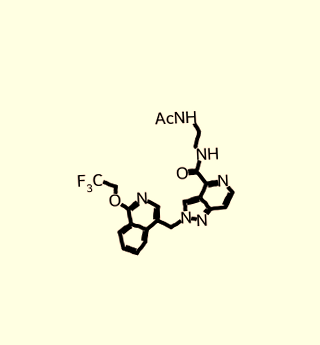 CC(=O)NCCNC(=O)c1nccc2nn(Cc3cnc(OCC(F)(F)F)c4ccccc34)cc12